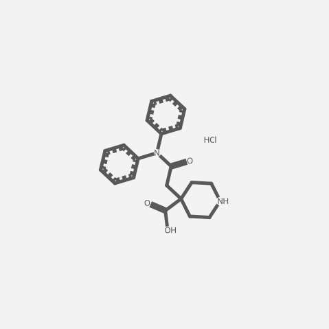 Cl.O=C(CC1(C(=O)O)CCNCC1)N(c1ccccc1)c1ccccc1